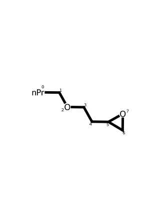 [CH2]CCCOCCC1CO1